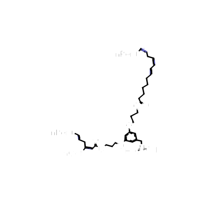 CCCCC/C=C\C/C=C\C=C\CCCCCC(=O)OCCCOc1cc(CN(C)C)cc(OCCCOC(=O)/C=C(\C/C=C/CCCCC)CCCCCCCC)c1